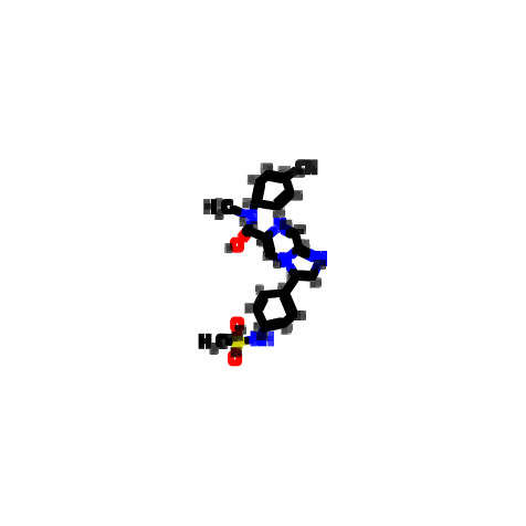 CN(C(=O)c1cn2c(-c3ccc(NS(C)(=O)=O)cc3)cnc2cn1)c1ccc(C#N)cc1